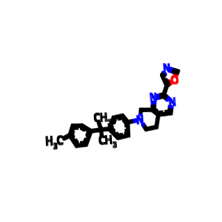 Cc1ccc(C(C)(C)c2ccc(N3CCc4cnc(-c5cnco5)nc4C3)cc2)cc1